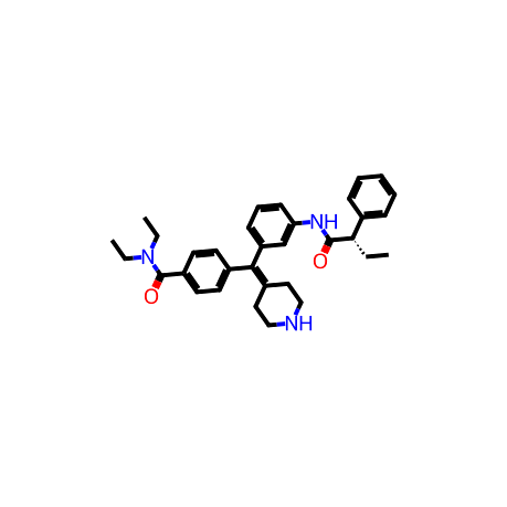 CC[C@H](C(=O)Nc1cccc(C(=C2CCNCC2)c2ccc(C(=O)N(CC)CC)cc2)c1)c1ccccc1